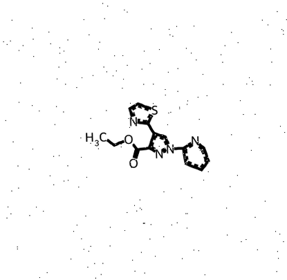 CCOC(=O)c1nn(-c2ccccn2)cc1-c1nccs1